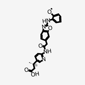 COc1ccccc1Nc1nc2ccc(CC(=O)Nc3ccc([C@@H](C)CC(=O)O)cn3)cc2o1